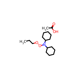 CC(=O)O.CCCOON(C1CCCCC1)C1CCCCC1